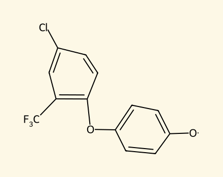 [O]c1ccc(Oc2ccc(Cl)cc2C(F)(F)F)cc1